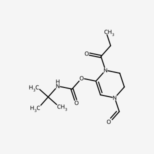 CCC(=O)N1CCN(C=O)C=C1OC(=O)NC(C)(C)C